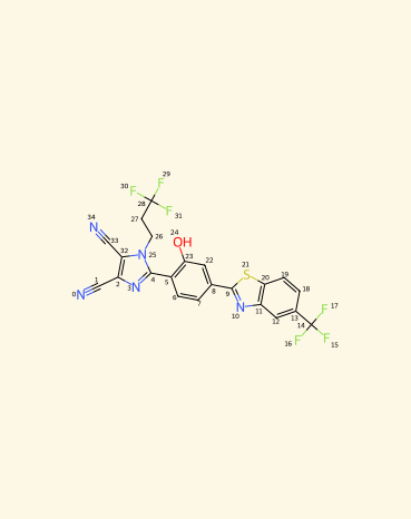 N#Cc1nc(-c2ccc(-c3nc4cc(C(F)(F)F)ccc4s3)cc2O)n(CCC(F)(F)F)c1C#N